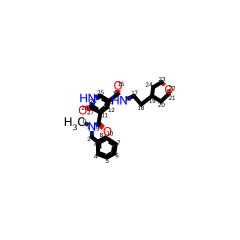 CN(Cc1ccccc1)C(=O)c1cc(C(=O)NCCC2CCOCC2)c[nH]c1=O